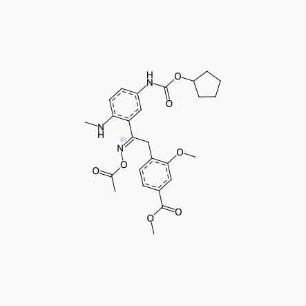 CNc1ccc(NC(=O)OC2CCCC2)cc1/C(Cc1ccc(C(=O)OC)cc1OC)=N/OC(C)=O